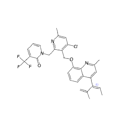 C=C(C)/C(=C\C)c1cc(C)nc2c(OCc3c(Cl)cc(C)nc3Cn3cccc(C(F)(F)F)c3=O)cccc12